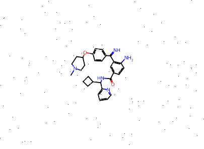 CN1CCC(Oc2ccc(C(=N)c3cc(C(=O)NC(c4ccccn4)C4CCC4)ccc3N)cc2)CC1